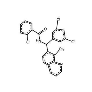 O=C(NC(c1cc(Cl)cc(Cl)c1)c1ccc2cccnc2c1O)c1ccccc1Cl